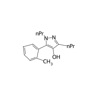 CCCc1nn(CCC)c(-c2ccccc2C)c1O